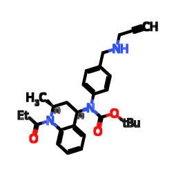 C#CCNCc1ccc(N(C(=O)OC(C)(C)C)[C@@H]2C[C@H](C)N(C(=O)CC)c3ccccc32)cc1